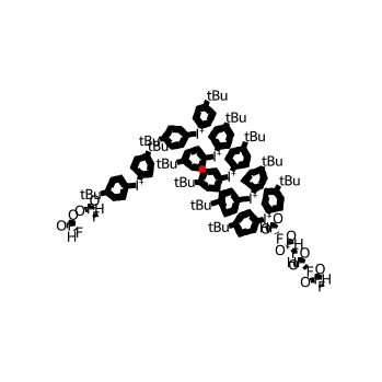 CC(C)(C)c1ccc([I+]c2ccc(C(C)(C)C)cc2)cc1.CC(C)(C)c1ccc([I+]c2ccc(C(C)(C)C)cc2)cc1.CC(C)(C)c1ccc([I+]c2ccc(C(C)(C)C)cc2)cc1.CC(C)(C)c1ccc([I+]c2ccc(C(C)(C)C)cc2)cc1.CC(C)(C)c1ccc([I+]c2ccc(C(C)(C)C)cc2)cc1.CC(C)(C)c1ccc([I+]c2ccc(C(C)(C)C)cc2)cc1.O=[PH]([O-])F.O=[PH]([O-])F.O=[PH]([O-])F.O=[PH]([O-])F.O=[PH]([O-])F.O=[PH]([O-])F